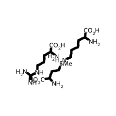 CSCCC(N)C(=O)O.N=C(N)NCCCC(N)C(=O)O.NCCCCC(N)C(=O)O